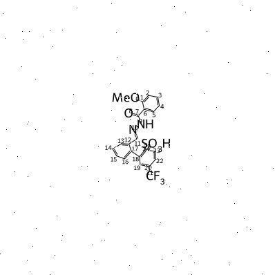 COc1ccccc1C(=O)NN=Cc1ccccc1-c1cc(C(F)(F)F)ccc1S(=O)(=O)O